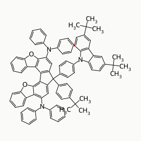 CC(C)(C)c1ccc(C2(c3ccc(-n4c5ccc(C(C)(C)C)cc5c5cc(C(C)(C)C)ccc54)cc3)c3cc(N(c4ccccc4)c4ccccc4)c4c(oc5ccccc54)c3-c3c2cc(N(c2ccccc2)c2ccccc2)c2oc4ccccc4c32)cc1